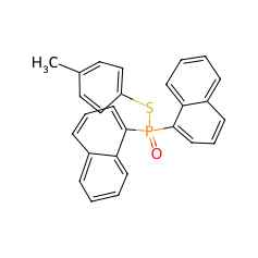 Cc1ccc(SP(=O)(c2cccc3ccccc23)c2cccc3ccccc23)cc1